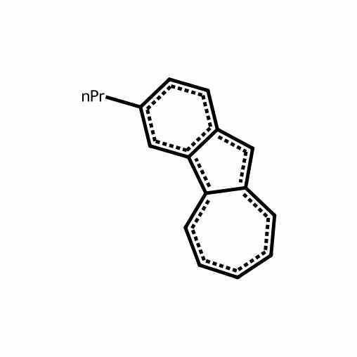 CCCc1ccc2cc3cccccc-3c2c1